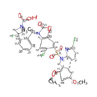 COc1ccc(CN(c2cccc(F)n2)S(=O)(=O)c2cc3oc(=O)n(C(C)c4ccccc4C4(F)CN(C(=O)O)C4)c3cc2F)c(OC)c1